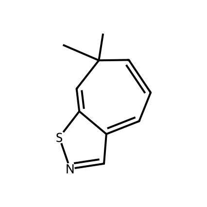 CC1(C)C=CC=c2cnsc2=C1